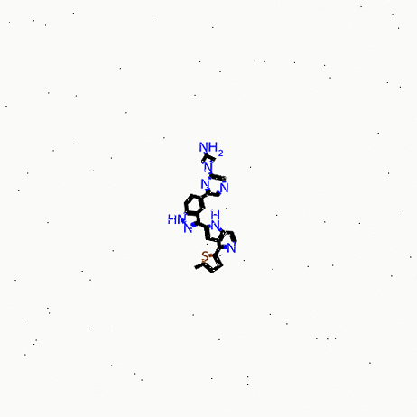 Cc1ccc(-c2nccc3[nH]c(-c4n[nH]c5ccc(-c6cncc(N7CC(N)C7)n6)cc45)cc23)s1